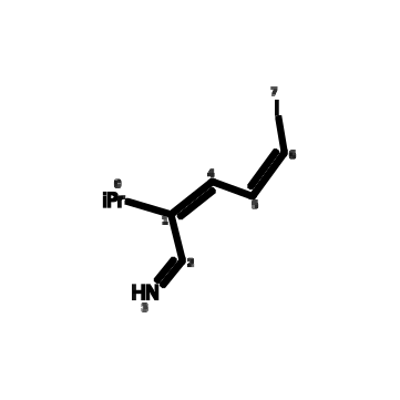 CC(C)/C(C=N)=C/C=C\I